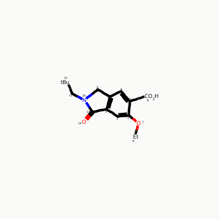 CCOc1cc2c(cc1C(=O)O)CN(CC(C)(C)C)C2=O